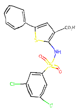 O=C(O)c1cc(-c2ccccc2)sc1NS(=O)(=O)c1cc(Cl)cc(Cl)c1